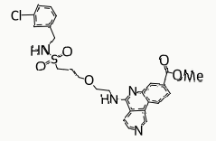 COC(=O)c1ccc2c(c1)nc(NCCOCCCS(=O)(=O)NCc1cccc(Cl)c1)c1ccncc12